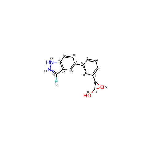 OC1OC1c1cccc(-c2ccc3[nH]nc(F)c3c2)c1